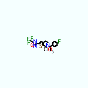 CC1c2sc(-c3noc(C(F)(F)F)n3)cc2CCN1C(=O)c1ccc(F)cc1